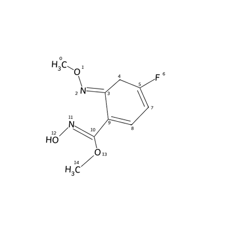 CON=C1CC(F)=CC=C1C(=NO)OC